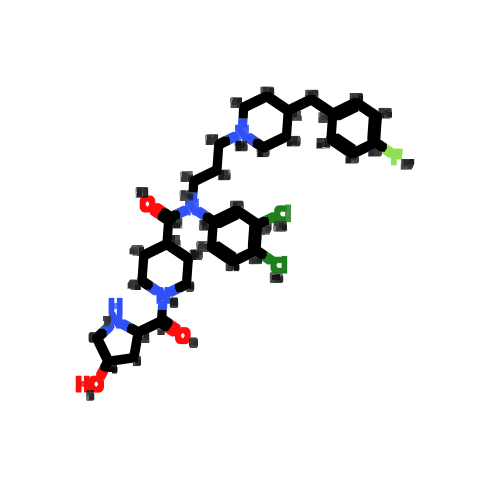 O=C(C1CC(O)CN1)N1CCC(C(=O)N(CCCN2CCC(Cc3ccc(F)cc3)CC2)c2ccc(Cl)c(Cl)c2)CC1